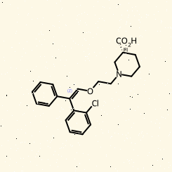 O=C(O)[C@@H]1CCCN(CCO/C=C(/c2ccccc2)c2ccccc2Cl)C1